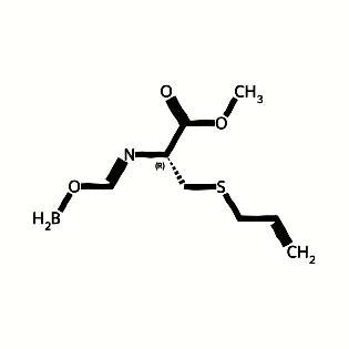 BOC=N[C@@H](CSCC=C)C(=O)OC